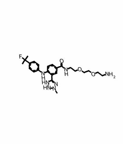 CN1N=C(c2cc(C(=O)NCCOCCOCCN)ccc2Nc2ccc(C(C)(C)F)cc2)NN1